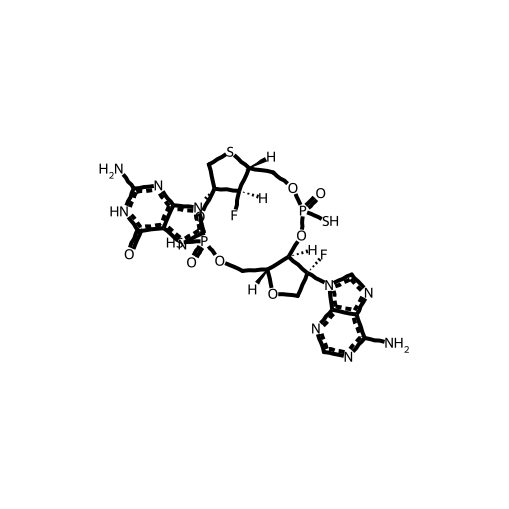 Nc1nc2c(ncn2[C@@]23CS[C@H](COP(=O)(S)O[C@@H]4[C@@H](COP(=O)(S)O2)OC[C@]4(F)n2cnc4c(N)ncnc42)[C@H]3F)c(=O)[nH]1